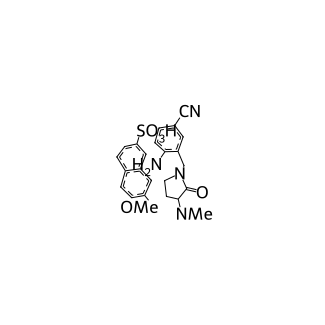 CNC1CCN(Cc2cc(C#N)ccc2N)C1=O.COc1ccc2ccc(S(=O)(=O)O)cc2c1